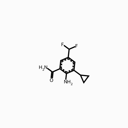 NC(=O)c1cc(C(F)F)cc(C2CC2)c1N